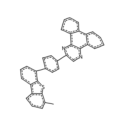 Cc1cccc2c1sc1c(-c3ccc(-c4cnc5c6ccccc6c6ccccc6c5n4)cc3)cccc12